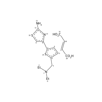 CCN(CC)Cc1ccc(-c2csc(N)n2)s1.O=C(O)/C=C/C(=O)O